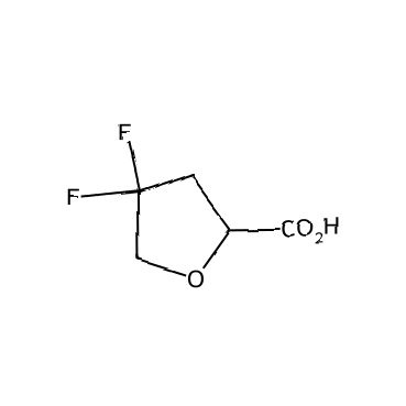 O=C(O)C1CC(F)(F)CO1